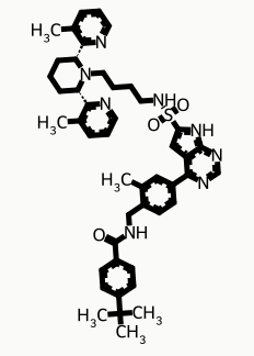 Cc1cc(-c2ncnc3[nH]c(S(=O)(=O)NCCCCN4[C@@H](c5ncccc5C)CCC[C@H]4c4ncccc4C)cc23)ccc1CNC(=O)c1ccc(C(C)(C)C)cc1